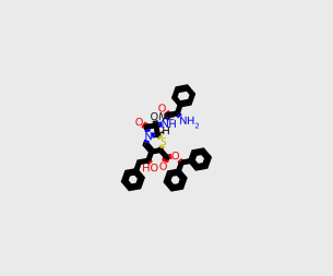 COC1(NC(=O)C(N)C2=CCC=CC2)C(=O)N2C=C(C(O)Cc3ccccc3)C(C(=O)OC(c3ccccc3)c3ccccc3)S[C@@H]21